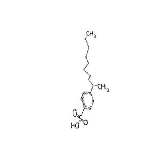 CCCCCCCCC(C)c1ccc(S(=O)(=O)O)cc1